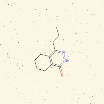 CCCc1n[nH]c(=O)c2c1CCCC2